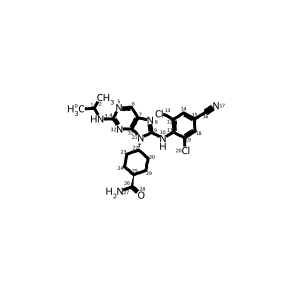 CC(C)Nc1ncc2nc(Nc3c(Cl)cc(C#N)cc3Cl)n([C@H]3CC[C@H](C(N)=O)CC3)c2n1